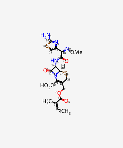 C/C=C(/C)C(=O)OCC1=C(C(=O)O)N2C(=O)[C@@H](NC(=O)/C(=N\OC)c3csc(N)n3)[C@H]2SC1